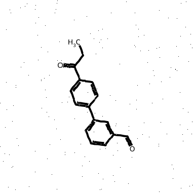 CCC(=O)c1ccc(-c2cccc(C=O)c2)cc1